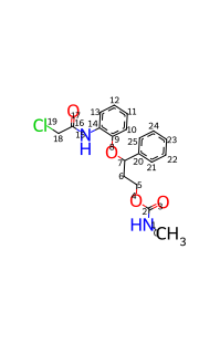 CNC(=O)OCCC(Oc1ccccc1NC(=O)CCl)c1ccccc1